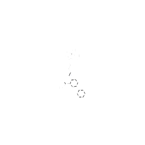 CC(C)(C)[Si](C)(C)OCC/C=C/c1ccc(-c2ccccc2)cc1C(=O)O